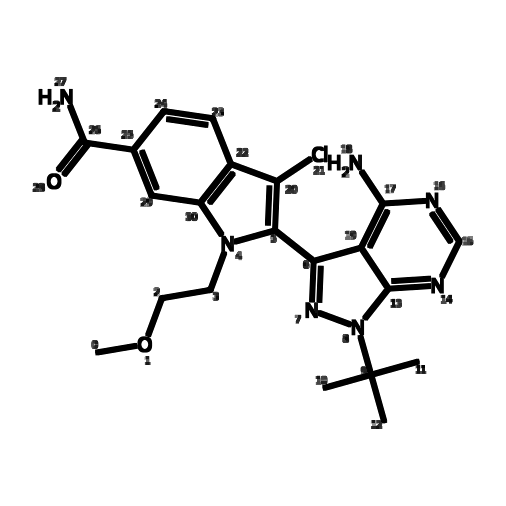 COCCn1c(-c2nn(C(C)(C)C)c3ncnc(N)c23)c(Cl)c2ccc(C(N)=O)cc21